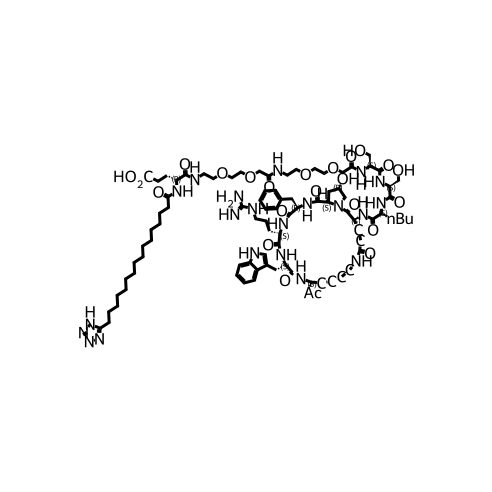 CCCC[C@H](NC(=O)[C@H](CO)NC(=O)[C@H](CO)NC(=O)COCCOCCNC(=O)COCCOCCNC(=O)[C@@H](CCC(=O)O)NC(=O)CCCCCCCCCCCCCCCc1nnn[nH]1)C(=O)N[C@H]1CCC(=O)NCCCC[C@@H](C(C)=O)NC(=O)[C@H](Cc2c[nH]c3ccccc23)NC(=O)[C@H](CCCNC(=N)N)NC(=O)[C@@H](Cc2ccccc2)NC(=O)[C@@H]2C[C@@H](O)CN2C1=O